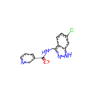 O=C(Nc1n[nH]c2cc(Cl)ccc12)c1cccnc1